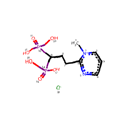 C[n+]1cccnc1CCC(P(=O)(O)O)P(=O)(O)O.[Cl-]